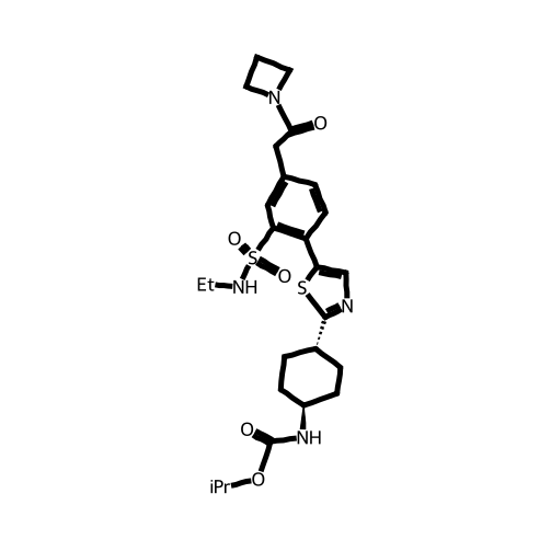 CCNS(=O)(=O)c1cc(CC(=O)N2CCC2)ccc1-c1cnc([C@H]2CC[C@H](NC(=O)OC(C)C)CC2)s1